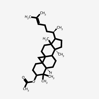 CC(=O)OC1CCC23CC24CCC2(C)C([C@H](C)CCC=C(C)C)CC[C@@]2(C)C4CC[C@H]3C1(C)C